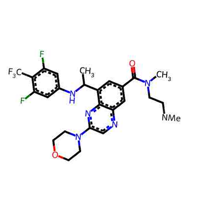 CNCCN(C)C(=O)c1cc(C(C)Nc2cc(F)c(C(F)(F)F)c(F)c2)c2nc(N3CCOCC3)cnc2c1